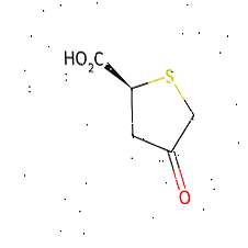 O=C1CS[C@H](C(=O)O)C1